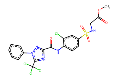 COC(=O)CNS(=O)(=O)c1ccc(NC(=O)c2nc(C(Cl)(Cl)Cl)n(-c3ccccc3)n2)c(Cl)c1